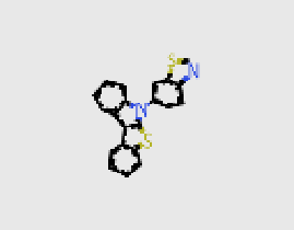 c1ccc2c(c1)sc1c2c2ccccc2n1-c1ccc2ncsc2c1